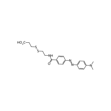 CN(C)c1ccc(/N=N/c2ccc(C(=O)NCCSSCCC(=O)O)cc2)cc1